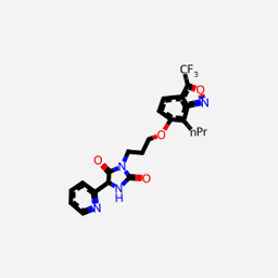 CCCc1c(OCCCN2C(=O)NC(c3ccccn3)C2=O)ccc2c(C(F)(F)F)onc12